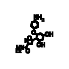 CCNC(=O)c1cc(-c2c(O)cc(O)cc2Oc2ccc(N)cc2)on1